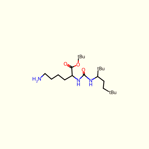 CC(C)(C)CCC(NC(=O)NC(CCCCN)C(=O)OC(C)(C)C)C(C)(C)C